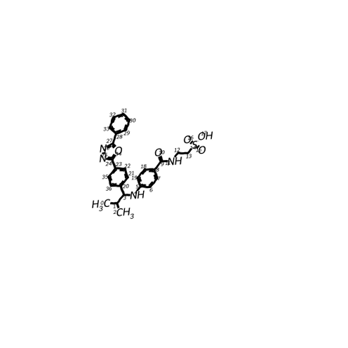 CC(C)C(Nc1ccc(C(=O)NCCS(=O)(=O)O)cc1)c1ccc(-c2nnc(-c3ccccc3)o2)cc1